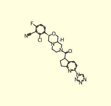 N#Cc1c(F)ccc([C@@H]2CN3CCN(C(=O)C4CCc5nc(-n6cnnn6)ccc54)C[C@@H]3CO2)c1Cl